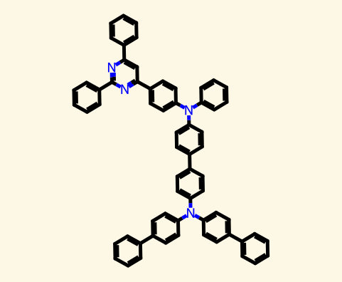 c1ccc(-c2ccc(N(c3ccc(-c4ccccc4)cc3)c3ccc(-c4ccc(N(c5ccccc5)c5ccc(-c6cc(-c7ccccc7)nc(-c7ccccc7)n6)cc5)cc4)cc3)cc2)cc1